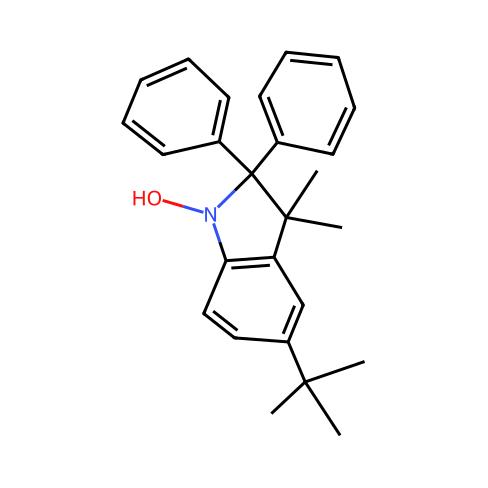 CC(C)(C)c1ccc2c(c1)C(C)(C)C(c1ccccc1)(c1ccccc1)N2O